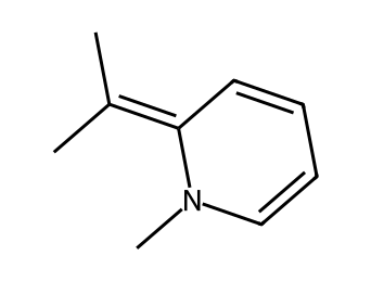 CC(C)=C1C=CC=CN1C